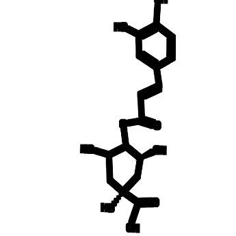 O=C(/C=C/c1ccc(O)c(O)c1)OC1C(O)C[C@](O)(C(=O)O)C[C@@H]1O